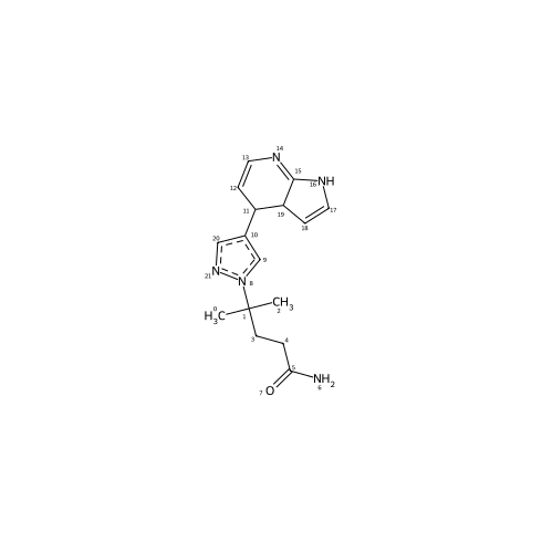 CC(C)(CCC(N)=O)n1cc(C2C=CN=C3NC=CC32)cn1